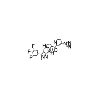 Cn1nc2c(c1-c1cc(F)c(F)c(F)c1)C[C@@H]1CCC3(C(=O)c4cc(-n5cnnc5)ccn4)C[C@H]2N13